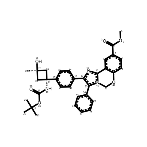 COC(=O)c1ccc2c(c1)-c1nc(-c3ccc([C@]4(NC(=O)OC(C)(C)C)C[C@](C)(O)C4)cc3)c(-c3ccccc3)n1CO2